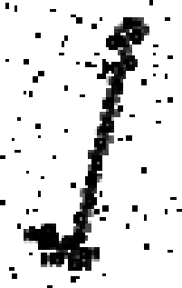 BC1CC(=O)N(CCC(=O)NCCOCCOCCOCCOCCOCCOCCOCCOCCOC2OC(COP(=O)(O)O)C(O)C(O)C2O)C1=O